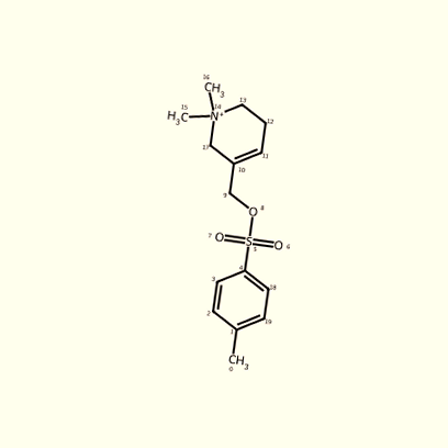 Cc1ccc(S(=O)(=O)OCC2=CCC[N+](C)(C)C2)cc1